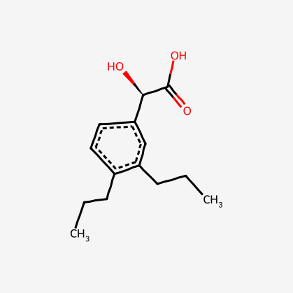 CCCc1ccc([C@@H](O)C(=O)O)cc1CCC